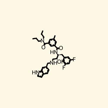 CCCN(CCC)C(=O)c1cc(C)cc(C(=O)N[C@@H](Cc2cc(F)cc(F)c2)[C@H](O)CNCc2ccc3cc[nH]c3c2)c1